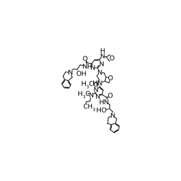 CCCN(C)c1nc(NC2COC2CN(CCOC)c2nc(NC3COC3)cc(C(=O)NC[C@H](O)CN3CCc4ccccc4C3)n2)cc(C(=O)NC[C@H](O)CN2CCc3ccccc3C2)n1